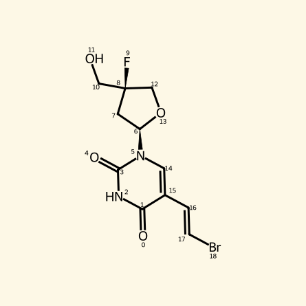 O=c1[nH]c(=O)n([C@H]2C[C@](F)(CO)CO2)cc1/C=C/Br